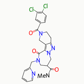 CNC(=O)C1CN(Cc2ccccn2)C(=O)c2c3c(nn2C1)CCN(C(=O)c1ccc(Cl)c(Cl)c1)C3